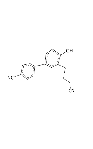 N#CCCCc1cc(-c2ccc(C#N)cc2)ccc1O